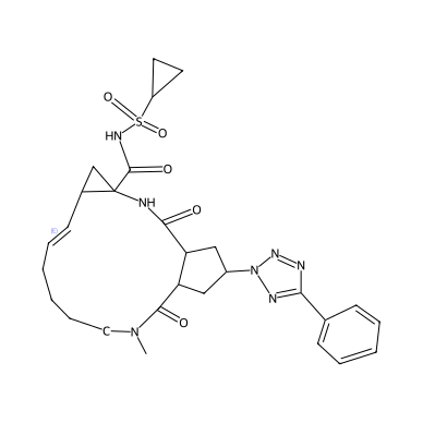 CN1CCCC/C=C/C2CC2(C(=O)NS(=O)(=O)C2CC2)NC(=O)C2CC(n3nnc(-c4ccccc4)n3)CC2C1=O